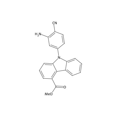 COC(=O)c1cccc2c1c1ccccc1n2-c1ccc(C#N)c(N)c1